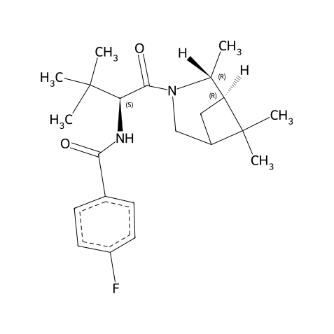 C[C@@H]1[C@@H]2CC(CN1C(=O)[C@@H](NC(=O)c1ccc(F)cc1)C(C)(C)C)C2(C)C